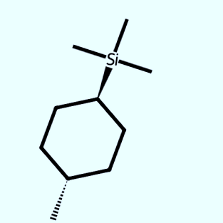 C[Si](C)(C)[C@H]1CC[C@H](C)CC1